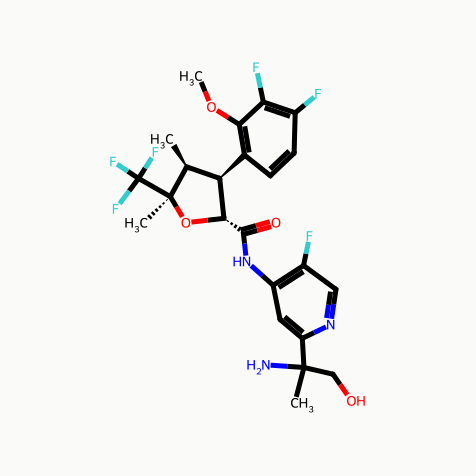 COc1c([C@H]2[C@H](C(=O)Nc3cc(C(C)(N)CO)ncc3F)O[C@@](C)(C(F)(F)F)[C@H]2C)ccc(F)c1F